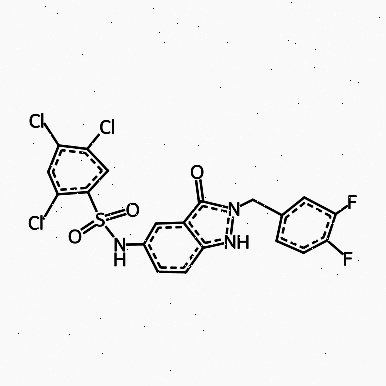 O=c1c2cc(NS(=O)(=O)c3cc(Cl)c(Cl)cc3Cl)ccc2[nH]n1Cc1ccc(F)c(F)c1